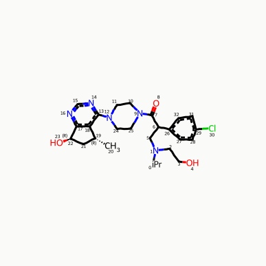 CC(C)N(CCO)CC(C(=O)N1CCN(c2ncnc3c2[C@H](C)C[C@H]3O)CC1)c1ccc(Cl)cc1